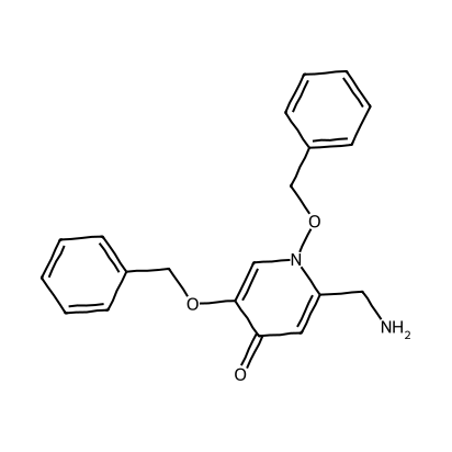 NCc1cc(=O)c(OCc2ccccc2)cn1OCc1ccccc1